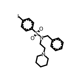 O=S(=O)(c1ccc(I)cc1)N(CCN1CCCCC1)Cc1ccccc1